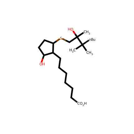 CCCCC(C)(C)C(C)(O)CSC1CCC(O)C1CCCCCCC(=O)O